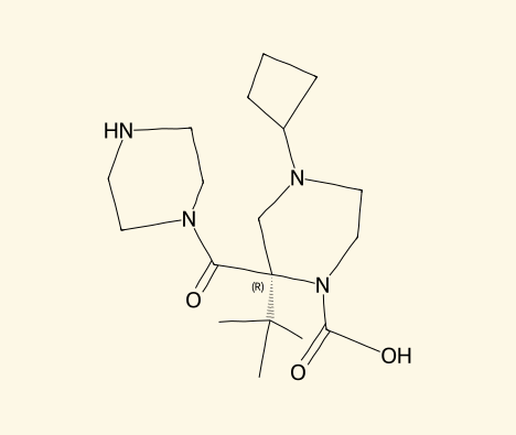 CC(C)(C)[C@]1(C(=O)N2CCNCC2)CN(C2CCC2)CCN1C(=O)O